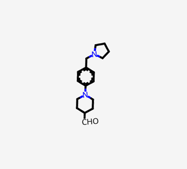 O=CC1CCN(c2ccc(CN3CCCC3)cc2)CC1